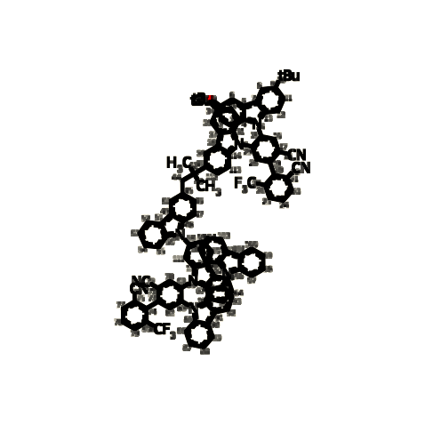 CC(C)(C)c1ccc2c(c1)c1cc(C(C)(C)C)ccc1n2-c1cc(C#N)c(-c2c(C#N)cccc2C(F)(F)F)cc1-n1c2ccc(C(C)(C)C)cc2c2cc(C(C)(C)Cc3ccc4c(c3)c3ccccc3n4-c3ccc4c5ccccc5n(-c5cc(C#N)c(-c6c(C#N)cccc6C(F)(F)F)cc5-n5c6ccccc6c6ccc(-n7c8ccccc8c8ccccc87)cc65)c4c3)ccc21